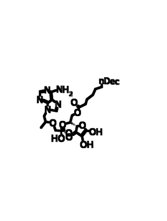 CCCCCCCCCCCCCCCC(=O)OCC(OP(=O)(O)COC(C)Cn1cnc2c(N)ncnc21)[C@@H]1OC(O)=C(O)C1=O